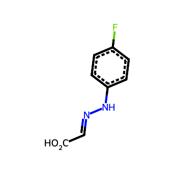 O=C(O)/C=N/Nc1ccc(F)cc1